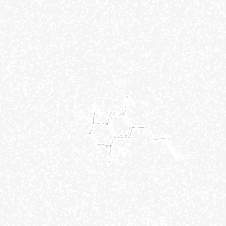 C=CC[CH]c1cc2c(cc1C)C(C)(C)CCC2(C)C